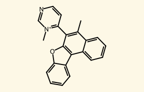 Cc1c(-c2ccnc[n+]2C)c2oc3ccccc3c2c2ccccc12